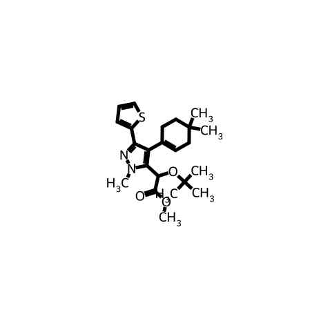 COC(=O)C(OC(C)(C)C)c1c(C2=CCC(C)(C)CC2)c(-c2cccs2)nn1C